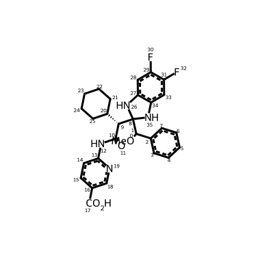 COC(c1ccccc1)C1([C@H](C(=O)Nc2ccc(C(=O)O)cn2)C2CCCCC2)Nc2cc(F)c(F)cc2N1